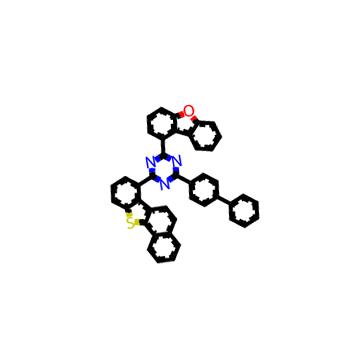 c1ccc(-c2ccc(-c3nc(-c4cccc5oc6ccccc6c45)nc(-c4cccc5sc6c7ccccc7ccc6c45)n3)cc2)cc1